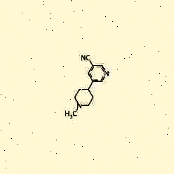 CN1CCC(c2cncc(C#N)c2)CC1